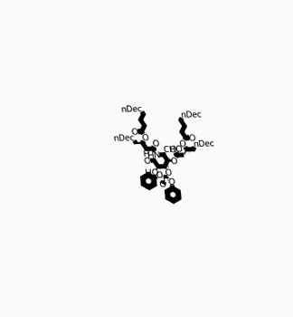 CCCCCCCCCCCCCC(=O)O[C@H](CCCCCCCCCCC)CC(=O)N[C@@H](C=O)[C@@H](OC(=O)C[C@@H](CCCCCCCCCCC)OC(=O)CCCCCCCCCCCCC)[C@H](OP(=O)(Oc1ccccc1)Oc1ccccc1)[C@H](O)CO